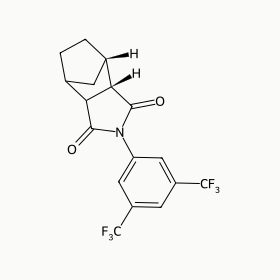 O=C1C2C3CC[C@@H](C3)[C@@H]2C(=O)N1c1cc(C(F)(F)F)cc(C(F)(F)F)c1